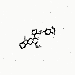 CNC(=O)[C@H]1Cc2c([nH]c3ccccc23)CN1C(=O)c1scnc1CNc1ccc2nccnc2c1